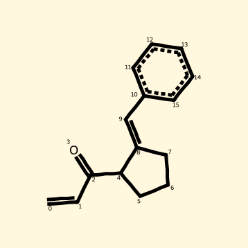 C=CC(=O)C1CCCC1=Cc1ccccc1